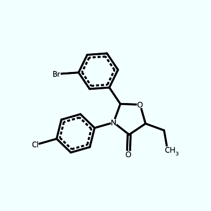 CCC1OC(c2cccc(Br)c2)N(c2ccc(Cl)cc2)C1=O